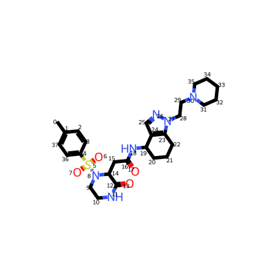 Cc1ccc(S(=O)(=O)N2CCNC(=O)C2CC(=O)NC2CCCc3c2cnn3CCN2CCCCC2)cc1